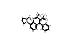 Cc1nc2c(N3CCCC3C)cccc2c(-c2ccccc2)c1C(=O)C(F)(F)F